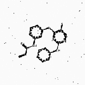 C=CC(=O)Nc1cccc(Sc2nc(Nc3ccccc3)ncc2C)c1